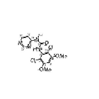 COc1cc(OC)c(Cl)c(NC(=O)N(C)c2ccncn2)c1Cl